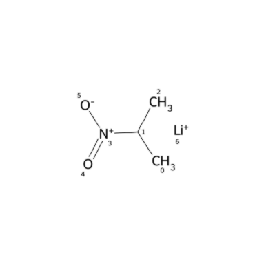 CC(C)[N+](=O)[O-].[Li+]